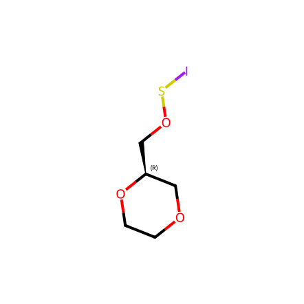 ISOC[C@H]1COCCO1